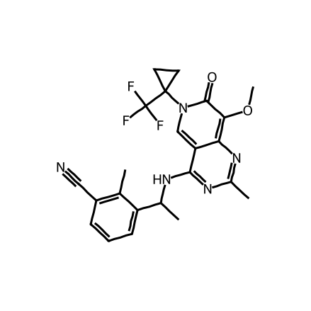 COc1c(=O)n(C2(C(F)(F)F)CC2)cc2c(NC(C)c3cccc(C#N)c3C)nc(C)nc12